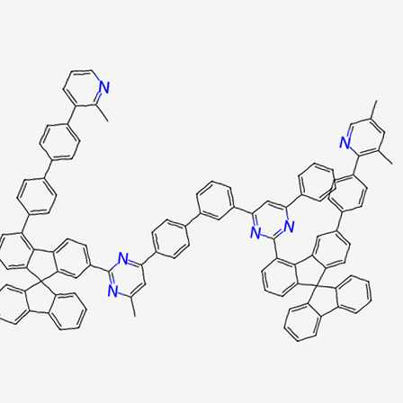 Cc1cnc(-c2ccc(-c3ccc4c(c3)-c3c(-c5nc(-c6ccccc6)cc(-c6cccc(-c7ccc(-c8cc(C)nc(-c9ccc%10c(c9)C9(c%11ccccc%11-c%11ccccc%119)c9cccc(-c%11ccc(-c%12ccc(-c%13cccnc%13C)cc%12)cc%11)c9-%10)n8)cc7)c6)n5)cccc3C43c4ccccc4-c4ccccc43)cc2)c(C)c1